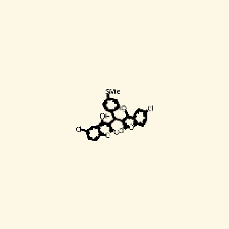 CSc1ccc(C(c2c(O)c3cc(Cl)ccc3oc2=O)c2c(O)c3cc(Cl)ccc3oc2=O)cc1